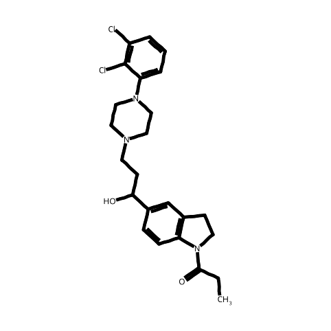 CCC(=O)N1CCc2cc(C(O)CCN3CCN(c4cccc(Cl)c4Cl)CC3)ccc21